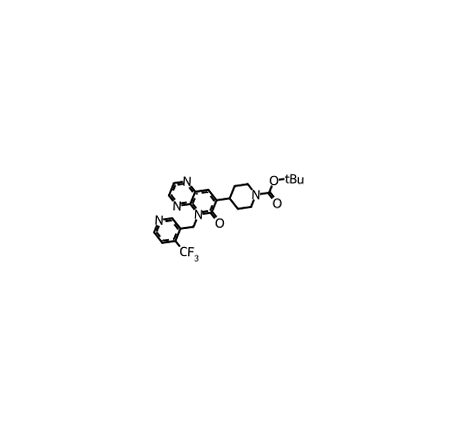 CC(C)(C)OC(=O)N1CCC(c2cc3nccnc3n(Cc3cnccc3C(F)(F)F)c2=O)CC1